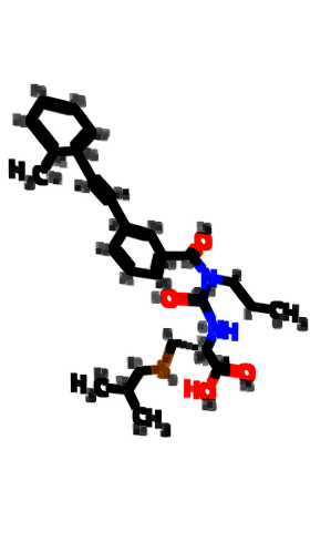 CCCN(C(=O)N[C@@H](CSCC(C)C)C(=O)O)C(=O)c1cccc(C#Cc2ccccc2C)c1